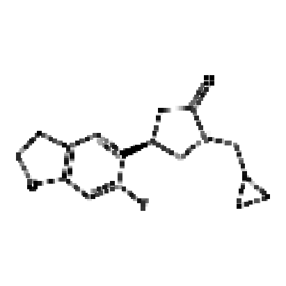 O=C1C[C@H](c2cc3c(cc2F)OCC3)CN1CC1CC1